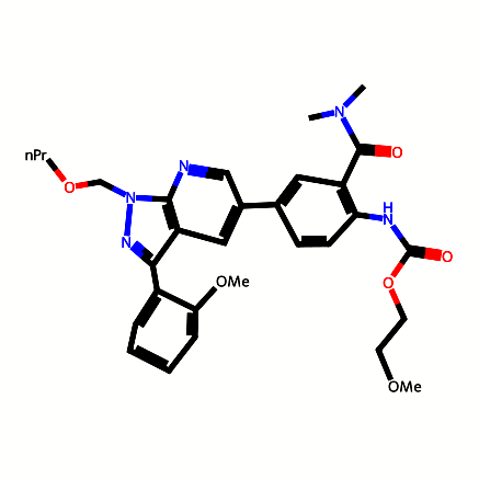 CCCOCn1nc(-c2ccccc2OC)c2cc(-c3ccc(NC(=O)OCCOC)c(C(=O)N(C)C)c3)cnc21